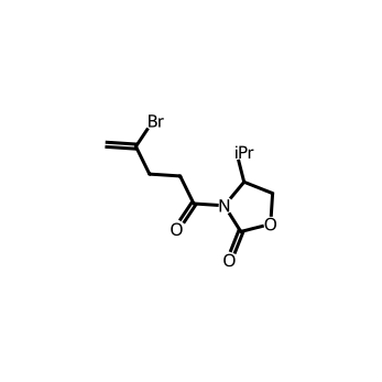 C=C(Br)CCC(=O)N1C(=O)OCC1C(C)C